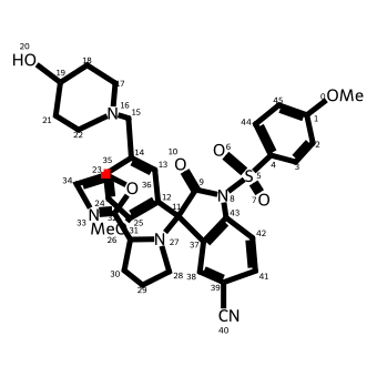 COc1ccc(S(=O)(=O)N2C(=O)C(c3cc(CN4CCC(O)CC4)ccc3OC)(N3CCCC3c3ncco3)c3cc(C#N)ccc32)cc1